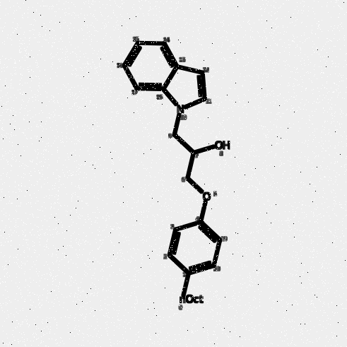 CCCCCCCCc1ccc(OCC(O)Cn2ccc3ccccc32)cc1